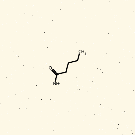 CCC[CH]C([NH])=O